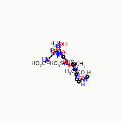 Cc1c(-c2ccc(N3CCc4cccc(C(=O)Nc5nc6ccccc6s5)c4C3)nc2C(=O)O)cnn1CC12CC3(C)CC(C)(C1)CC(OCCN(CCS(=O)(=O)O)C(=O)OCc1ccc(NC(=O)[C@H](CCCNC(N)O)NC(=O)[C@@H](NC(=O)CCCCCNC(=O)CCC(=O)O)C(C)C)cc1)(C3)C2